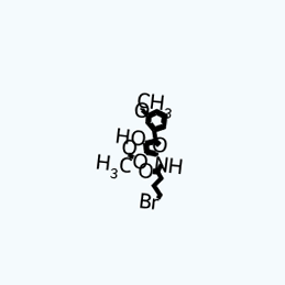 COc1cccc(-c2oc(NC(=O)CCCBr)c(OC(C)=O)c2O)c1